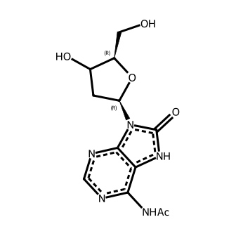 CC(=O)Nc1ncnc2c1[nH]c(=O)n2[C@H]1CC(O)[C@@H](CO)O1